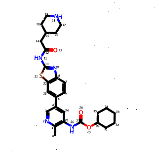 Cc1ncc(-c2ccc3nc(NC(=O)CC4CCNCC4)sc3c2)cc1NC(=O)OC1CCCCC1